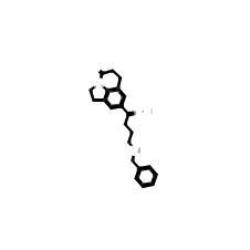 Cl.O=C(CCCNCc1ccccc1)c1cc2c3c(c1)CCN3C(=O)CC2